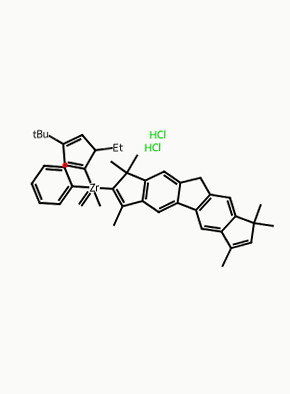 Cl.Cl.[CH2]=[Zr]([CH3])([C]1=CC(C(C)(C)C)=CC1CC)([C]1=C(C)c2cc3c(cc2C1(C)C)Cc1cc2c(cc1-3)C(C)=CC2(C)C)[c]1ccccc1